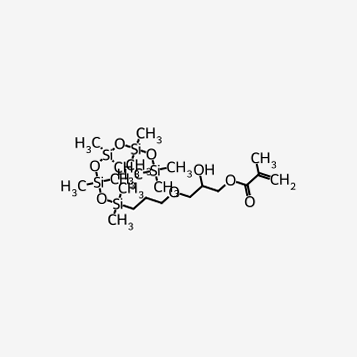 C=C(C)C(=O)OCC(O)COCCC[Si](C)(C)O[Si](C)(C)O[Si](C)(C)O[Si](C)(C)O[Si](C)(C)C